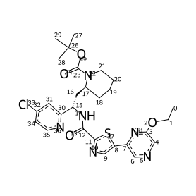 CCOc1cncc(-c2cnc(C(=O)N[C@@H](C[C@@H]3CCCCN3C(=O)OC(C)(C)C)c3cc(Cl)ccn3)s2)n1